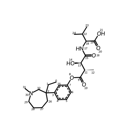 CCC1(c2cccc(OC(=O)[C@@H](C)[C@@H](O)C(=O)NC(C(=O)O)C(C)C)c2)CCCCN(C)C1